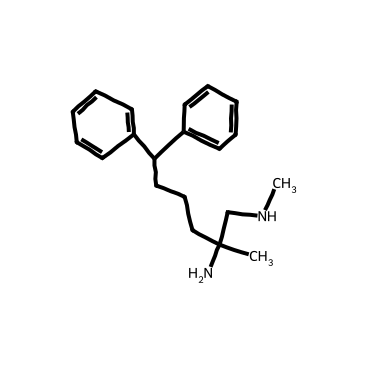 CNCC(C)(N)CCCC(c1ccccc1)c1ccccc1